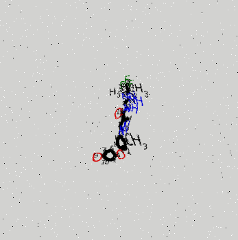 Cc1cc(OC2CCC(=O)CC2)ccc1-n1cc(C(=O)NCc2nc(C(C)(C)C(F)(F)F)n[nH]2)cn1